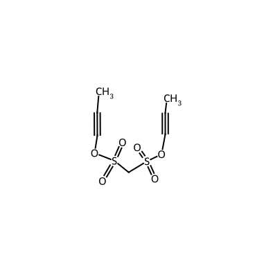 CC#COS(=O)(=O)CS(=O)(=O)OC#CC